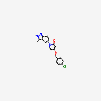 Cc1c2cc(-n3ccc(OCc4ccc(Cl)cc4)cc3=O)ccc2nn1C